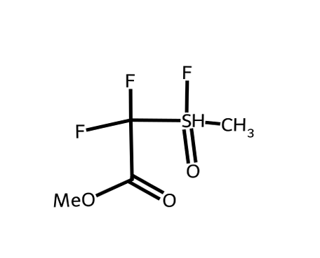 COC(=O)C(F)(F)[SH](C)(=O)F